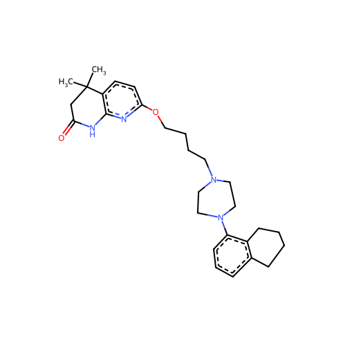 CC1(C)CC(=O)Nc2nc(OCCCCN3CCN(c4cccc5c4CCCC5)CC3)ccc21